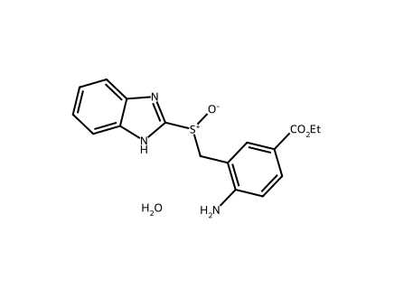 CCOC(=O)c1ccc(N)c(C[S+]([O-])c2nc3ccccc3[nH]2)c1.O